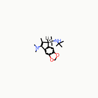 [Li][C]1([Si](C)(C)NC(C)(C)C)C(C)=C(N(C)C)c2cc3c(cc21)OCO3